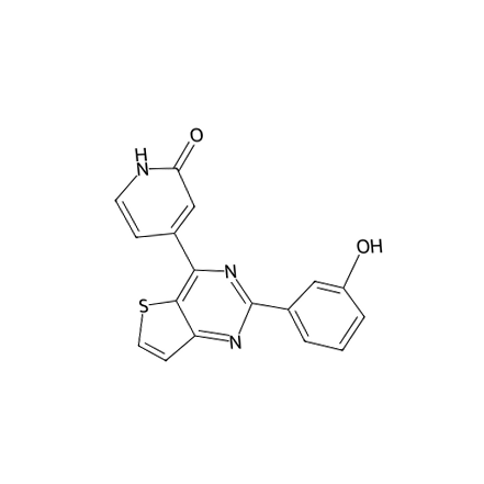 O=c1cc(-c2nc(-c3cccc(O)c3)nc3ccsc23)cc[nH]1